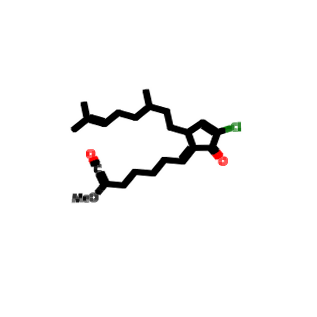 COC(=C=O)CCCCC=C1C(=O)C(Cl)=CC1CCC(C)CCC=C(C)C